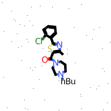 CCCCN1CCCN(C(=O)c2sc(-c3ccccc3Cl)nc2C)CC1